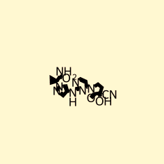 N#C[C@@]1(O)CCN(c2ccnc(Nc3cnn(C4(C(N)=O)CC4)c3)n2)C1=O